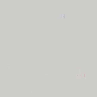 CN1C=C(c2ccc(F)c(C(F)(F)F)c2)c2cc(O)ccc2C1